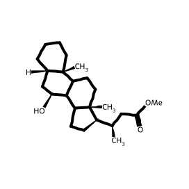 COC(=O)C[C@@H](C)[C@H]1CCC2C3C(CC[C@@]21C)[C@@]1(C)CCCC[C@H]1C[C@@H]3O